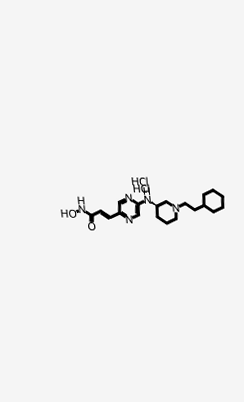 Cl.Cl.O=C(/C=C/c1cnc(N[C@@H]2CCCN(CCC3CCCCC3)C2)cn1)NO